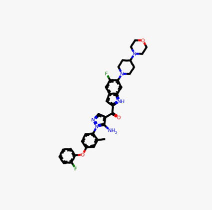 Cc1cc(Oc2ccccc2F)ccc1-n1ncc(C(=O)c2cc3cc(F)c(N4CCC(N5CCOCC5)CC4)cc3[nH]2)c1N